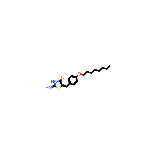 CCCCCCCCOc1ccc(C=C2SC(=N)NC2=O)cc1